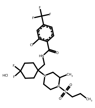 CCCS(=O)(=O)N1CCN(C2(CNC(=O)c3ccc(C(F)(F)F)cc3Cl)CCC(F)(F)CC2)CC1C.Cl